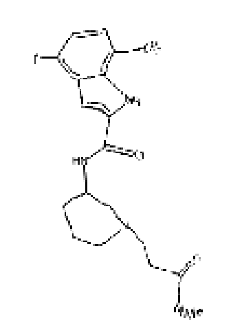 CNC(=O)CCN1CCCC(NC(=O)c2cc3c(F)ccc(C)c3[nH]2)C1